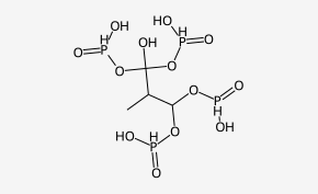 CC(C(O[PH](=O)O)O[PH](=O)O)C(O)(O[PH](=O)O)O[PH](=O)O